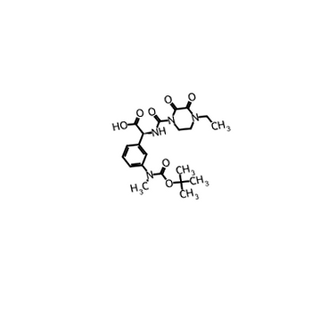 CCN1CCN(C(=O)N[C@H](C(=O)O)c2cccc(N(C)C(=O)OC(C)(C)C)c2)C(=O)C1=O